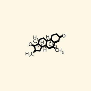 C=C1C[C@H]2[C@@H]3C=C(C)C4=CC(=O)CC[C@]4(C)[C@H]3CC[C@]2(C)C1=O